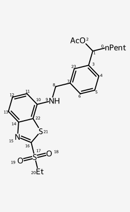 CCCCCC(OC(C)=O)c1cccc(CNc2cccc3nc(S(=O)(=O)CC)sc23)c1